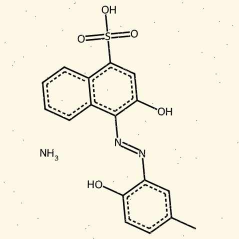 Cc1ccc(O)c(N=Nc2c(O)cc(S(=O)(=O)O)c3ccccc23)c1.N